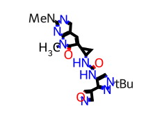 CNc1ncc2cc(C3CC3NC(=O)Nc3cn(C(C)(C)C)nc3-c3cnoc3)c(=O)n(C)c2n1